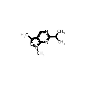 Cc1nn(C)c2nc(C(C)C)ncc12